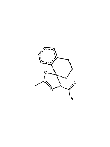 CC1=NN(C(=O)C(C)C)C2(CCCc3ccccc32)O1